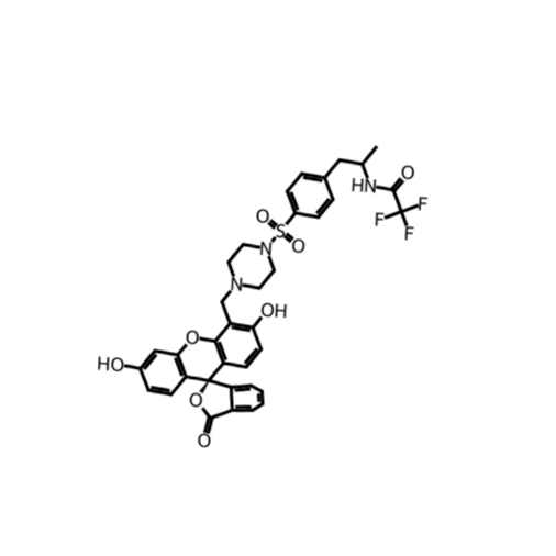 CC(Cc1ccc(S(=O)(=O)N2CCN(Cc3c(O)ccc4c3Oc3cc(O)ccc3[C@]43OC(=O)c4ccccc43)CC2)cc1)NC(=O)C(F)(F)F